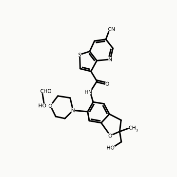 CC1(CO)Cc2cc(NC(=O)c3csc4cc(C#N)cnc34)c(N3CCOCC3)cc2O1.O=CO